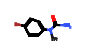 [CH2]CCN(C(N)=O)c1ccc(Br)cc1